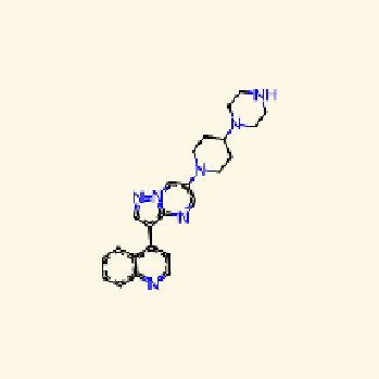 c1ccc2c(-c3cnn4cc(N5CCC(N6CCNCC6)CC5)cnc34)ccnc2c1